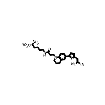 N#CC(C#N)=Cc1ccc(-c2ccc3c(c2)CCCN3CCC(=O)NCCCC[C@H](N)C(=O)O)s1